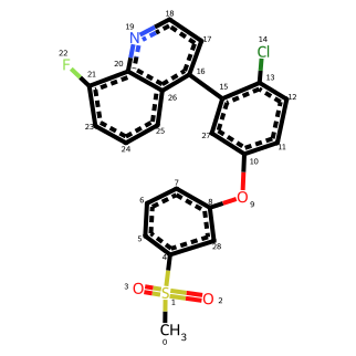 CS(=O)(=O)c1cccc(Oc2ccc(Cl)c(-c3ccnc4c(F)cccc34)c2)c1